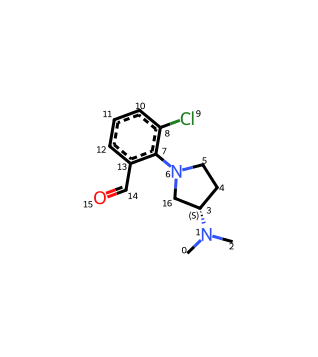 CN(C)[C@H]1CCN(c2c(Cl)cccc2C=O)C1